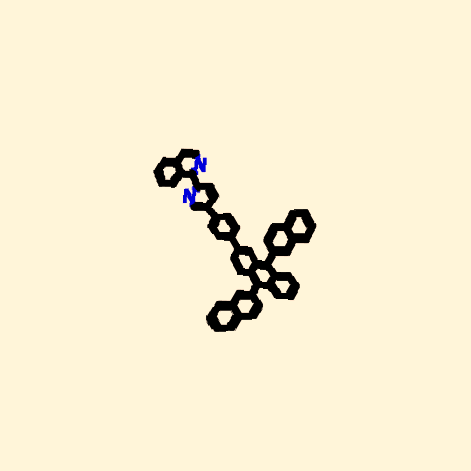 c1ccc2cc(-c3c4ccccc4c(-c4ccc5ccccc5c4)c4cc(-c5ccc(-c6ccc(-c7nccc8ccccc78)nc6)cc5)ccc34)ccc2c1